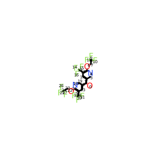 O=C(c1cnc(OCC(F)(F)F)c(C(F)(F)F)c1)c1cnc(OCC(F)(F)F)c(C(F)(F)F)c1